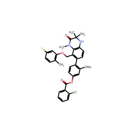 COc1cc(OC(=O)c2ccccc2Cl)ccc1-c1ccc2c(c1COc1cc(F)ccc1C)N(C)C(=O)C(C)(C)N2